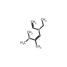 C=CN(/C=C(/C)N(C)C)CC